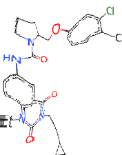 CCn1c(=O)n(CC2CC2)c(=O)c2cc(NC(=O)N3CCCC3COc3ccc(C#N)c(Cl)c3)ccc21